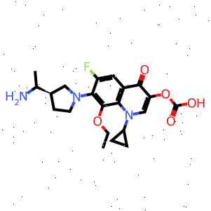 CCOc1c(N2CC[C@@H](C(C)N)C2)c(F)cc2c(=O)c(OC(=O)O)cn(C3CC3)c12